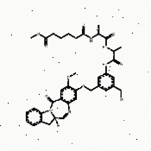 COC(=O)CCCCC(=O)NC(C)C(=O)NC(C)C(=O)Nc1cc(CO)cc(COc2cc3c(cc2OC)C(=O)N2c4ccccc4C[C@H]2C=N3)c1